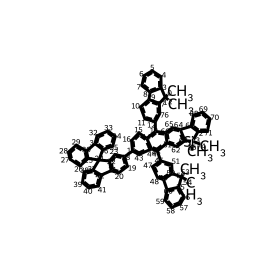 CC1(C)c2ccccc2-c2ccc(-c3c4ccc(-c5ccc6c(c5)C5(c7ccccc7-c7ccccc75)c5ccccc5-6)cc4c(-c4ccc5c(c4)C(C)(C)c4ccccc4-5)c4cc5c(cc34)-c3ccccc3[Si]5(C)C)cc21